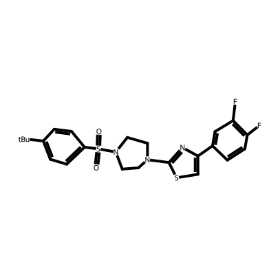 CC(C)(C)c1ccc(S(=O)(=O)N2CCN(c3nc(-c4ccc(F)c(F)c4)cs3)CC2)cc1